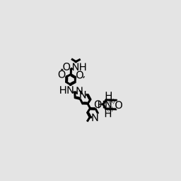 COc1cc(Nc2cc3cc(-c4cc(C)ncc4OC4C[C@H]5COC[C@@H](C4)N5)ccn3n2)cc(OC)c1C(=O)NC(C)C